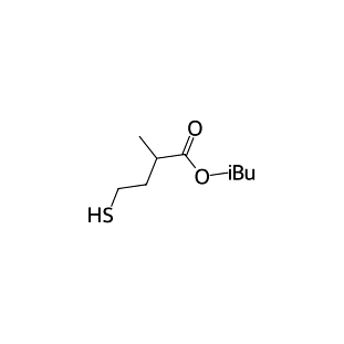 CCC(C)OC(=O)C(C)CCS